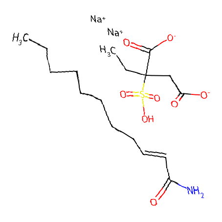 CCC(CC(=O)[O-])(C(=O)[O-])S(=O)(=O)O.CCCCCCCCC=CC(N)=O.[Na+].[Na+]